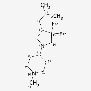 CC(C)CC1CN(C2CCN(C)CC2)CC1(F)F